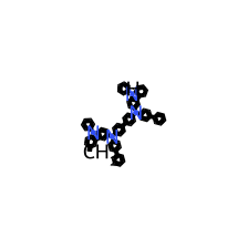 C=C1C=Cc2c(c3cc(N(c4ccc(-c5ccccc5)cc4)c4ccc(-c5ccc(N(c6ccc(-c7ccccc7)cc6)c6ccc7c(c6)C6CCC=C[C@@H]6N7[C@@H]6C=CC=CC6)cc5)cc4)ccc3n2-c2ccccc2)C1